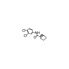 O=C(Nc1ccc(Cl)c(Cl)c1)C1=CC2CCC1O2